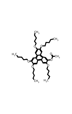 CCCCCOc1cc2c3cc(OCCCCC)c(OCCCCC)cc3c3cc(OC(C)=O)c(OCCCCC)cc3c2cc1OCCCCC